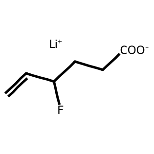 C=CC(F)CCC(=O)[O-].[Li+]